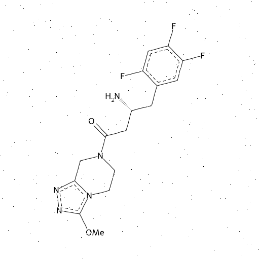 COc1nnc2n1CCN(C(=O)C[C@H](N)Cc1cc(F)c(F)cc1F)C2